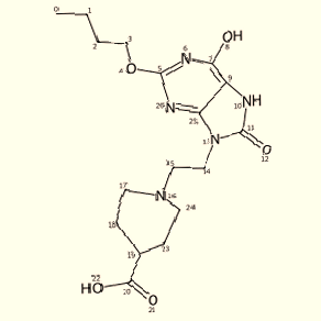 CCCCOc1nc(O)c2[nH]c(=O)n(CCN3CCC(C(=O)O)CC3)c2n1